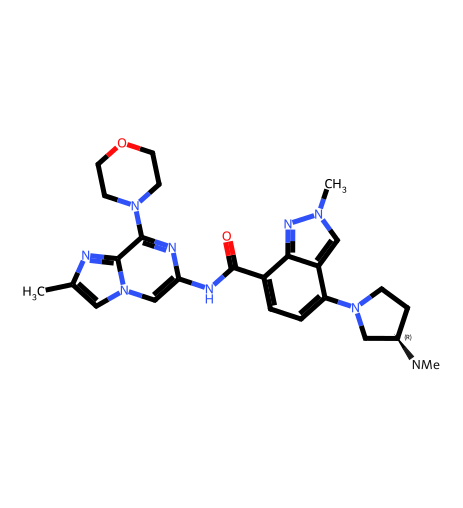 CN[C@@H]1CCN(c2ccc(C(=O)Nc3cn4cc(C)nc4c(N4CCOCC4)n3)c3nn(C)cc23)C1